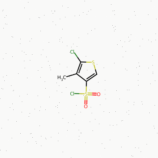 Cc1c(S(=O)(=O)Cl)csc1Cl